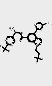 Cc1cnc(-c2cc(C(=O)N[C@H](C)c3cnc(C(F)(F)F)nc3)cc3c2cnn3CCC(F)(F)F)s1